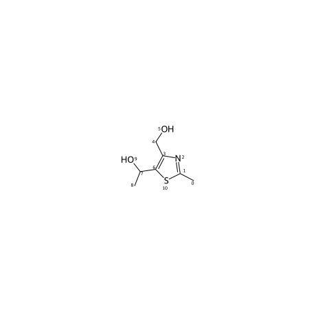 Cc1nc(CO)c(C(C)O)s1